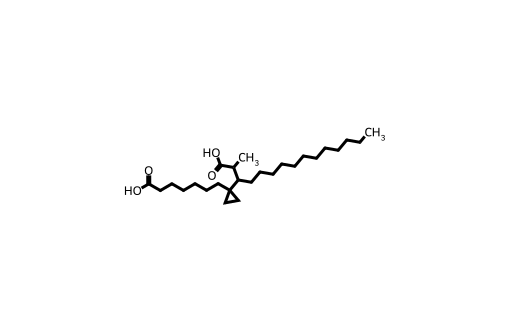 CCCCCCCCCCCCC(C(C)C(=O)O)C1(CCCCCCC(=O)O)CC1